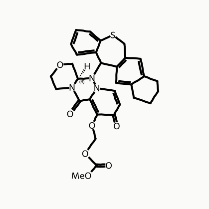 COC(=O)OCOc1c2n(ccc1=O)N(C1c3cc4c(cc3CSc3ccccc31)CCCC4)[C@@H]1COCCN1C2=O